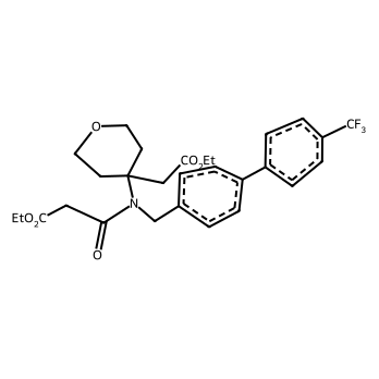 CCOC(=O)CC(=O)N(Cc1ccc(-c2ccc(C(F)(F)F)cc2)cc1)C1(CC(=O)OCC)CCOCC1